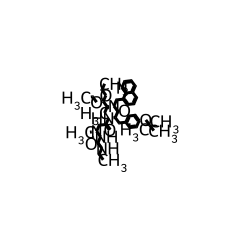 CCNC(=O)NN(C)CC(=O)NC(Cc1ccc(OC(C)(C)C)cc1)C(=O)N(Cc1cccc2cccnc12)C(C)C(OCC)OCC